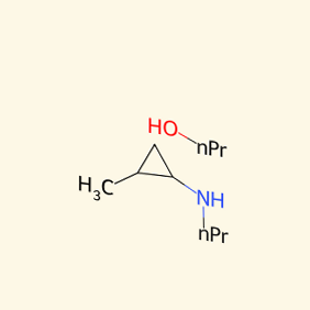 CCCNC1CC1C.CCCO